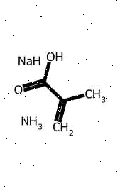 C=C(C)C(=O)O.N.[NaH]